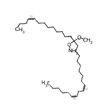 CCC/C=C\CCCCCCCCC(CCCCCCCC/C=C\C/C=C\CCCCC)(OC)ON